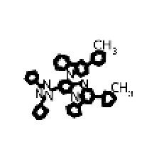 Cc1cccc(-c2ccc3c(c2)c2ccccc2n3-c2cc(-c3nc(-c4ccccc4)nc(-c4ccccc4)n3)cc(-n3c4ccccc4c4cc(-c5cccc(C)c5)ccc43)c2C#N)c1